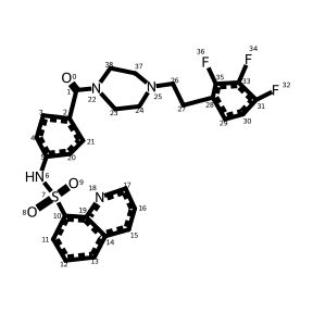 O=C(c1ccc(NS(=O)(=O)c2cccc3cccnc23)cc1)N1CCN(CCc2ccc(F)c(F)c2F)CC1